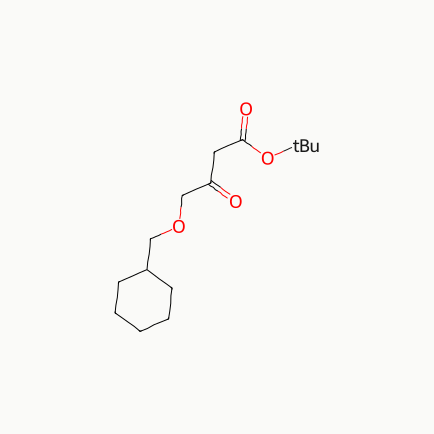 CC(C)(C)OC(=O)CC(=O)COCC1CCCCC1